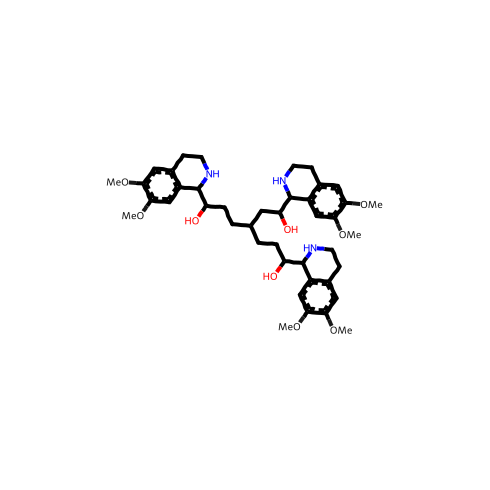 COc1cc2c(cc1OC)C(C(O)CCC(CCC(O)C1NCCc3cc(OC)c(OC)cc31)CC(O)C1NCCc3cc(OC)c(OC)cc31)NCC2